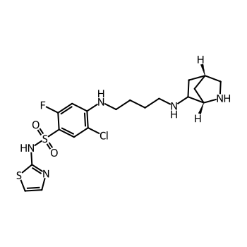 O=S(=O)(Nc1nccs1)c1cc(Cl)c(NCCCCNC2C[C@@H]3CN[C@H]2C3)cc1F